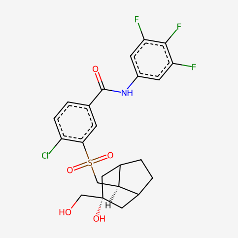 O=C(Nc1cc(F)c(F)c(F)c1)c1ccc(Cl)c(S(=O)(=O)C[C@H]2C3CCC2C[C@@](O)(CO)C3)c1